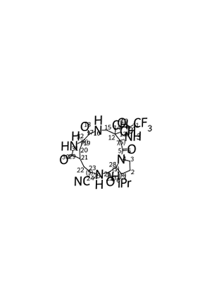 CC(C)[C@H]1CCN2C(=O)[C@@H](NC(=O)C(F)(F)F)C(C)(C)CNC(=O)[C@H]3CC(C[C@@H](C#N)NC(=O)[C@H]12)C(=O)N3